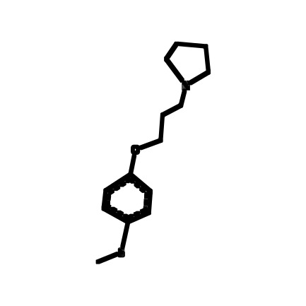 CSc1ccc(OCCCN2CCCC2)cc1